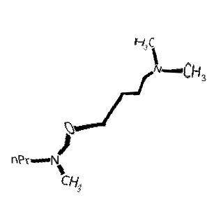 CCCN(C)OCCCN(C)C